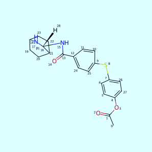 CC(=O)Oc1ccc(Sc2ccc(C(=O)N[C@H]3NC4CCC3CC4)cc2)cc1